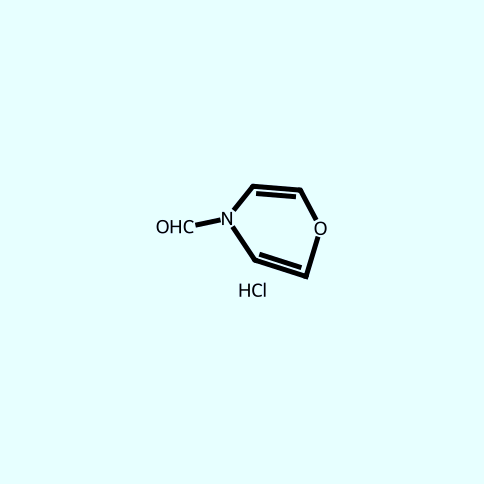 Cl.O=CN1C=COC=C1